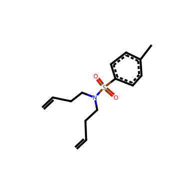 C=CCCN(CCC=C)S(=O)(=O)c1ccc(C)cc1